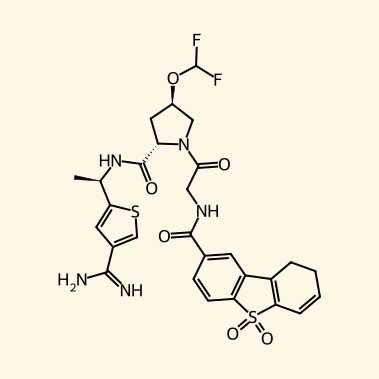 C[C@@H](NC(=O)[C@@H]1C[C@@H](OC(F)F)CN1C(=O)CNC(=O)c1ccc2c(c1)C1=C(C=CCC1)S2(=O)=O)c1cc(C(=N)N)cs1